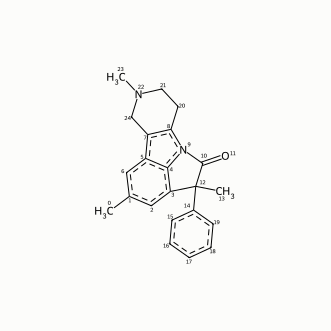 Cc1cc2c3c(c1)c1c(n3C(=O)C2(C)c2ccccc2)CCN(C)C1